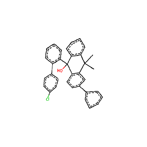 CC1(C)c2ccccc2C(O)(c2ccccc2-c2ccc(Cl)cc2)c2ccc(-c3ccccc3)cc21